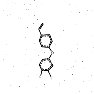 C=Cc1ccc(Oc2ccc(F)c(F)c2)cc1